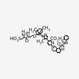 Cc1c(-c2ccc(N3CCc4cccc(C(=O)Nc5nc6ccccc6s5)c4C3)nc2C(=O)O)cnn1CC12CC3(C)CC(C)(C1)CC(OCCNC(=O)C(N)CS(=O)(=O)O)(C3)C2